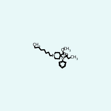 CCCCCCCCN1CCC(C(=O)OC)(N(C(=O)CC)c2ccccc2)CC1